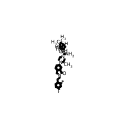 C[C@@H]1[C@@H](N=C(N)N2CCN(c3ccc4c(c3)C(=O)N(CCc3ccc(F)cc3F)C4)[C@@H](C)C2)C[C@H]2C[C@@H]1C2(C)C